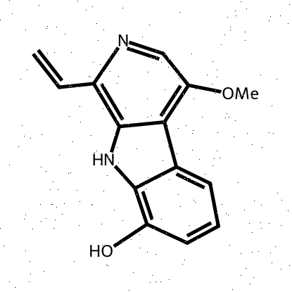 C=Cc1ncc(OC)c2c1[nH]c1c(O)cccc12